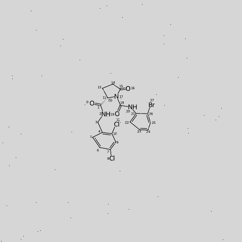 O=C(NCc1ccc(Cl)cc1Cl)[C@@H]1CCC(=O)N1C(=O)Nc1ccccc1Br